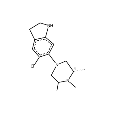 CC1CN(c2cc3c(cc2Cl)CCN3)C[C@H](C)N1C